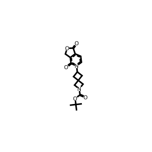 CC(C)(C)OC(=O)N1CC2(CC(n3ccc4c(c3=O)COC4=O)C2)C1